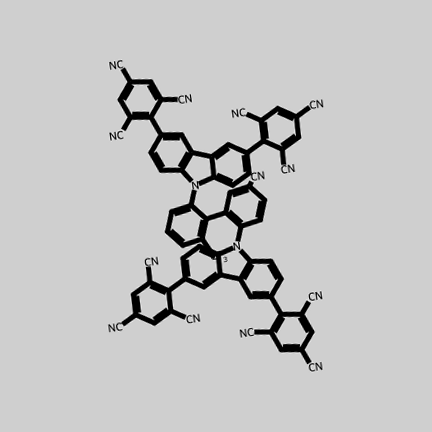 N#Cc1cc(C#N)c(-c2ccc3c(c2)c2cc(-c4c(C#N)cc(C#N)cc4C#N)ccc2n3-c2ccc(C#N)cc2-c2c(-n3c4ccc(-c5c(C#N)cc(C#N)cc5C#N)cc4c4cc(-c5c(C#N)cc(C#N)cc5C#N)ccc43)cccc2C(F)(F)F)c(C#N)c1